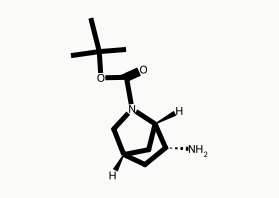 CC(C)(C)OC(=O)N1C[C@H]2C[C@@H](N)[C@@H]1C2